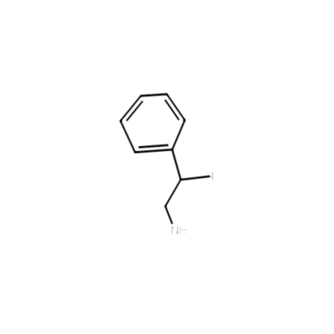 NCC(I)c1ccccc1